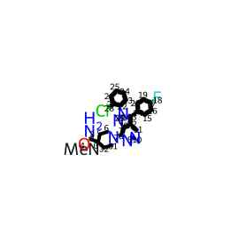 CNC1(C(N)=O)CCN(c2nncc3c(-c4ccc(F)cc4)n(-c4ccccc4Cl)nc23)CC1